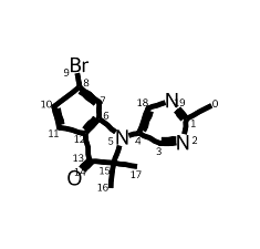 Cc1ncc(N2c3cc(Br)ccc3C(=O)C2(C)C)cn1